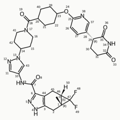 C[C@@]12Cc3[nH]nc(C(=O)Nc4cnn(C5CCN(C(=O)C6CCC(Oc7ccc([C@H]8CCC(=O)NC8=O)cn7)CC6)CC5)c4)c3C[C@@H]1C2(F)F